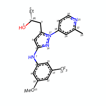 CC[C@@H](O)Cc1cc(Nc2cc(OC)cc(C(F)(F)F)c2)nn1-c1ccnc(C)c1